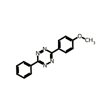 COc1ccc(-c2nnc(-c3ccccc3)nn2)cc1